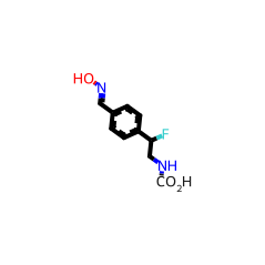 O=C(O)NCC(F)c1ccc(C=NO)cc1